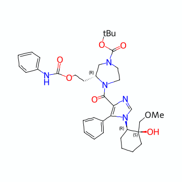 COC[C@]1(O)CCCC[C@H]1n1cnc(C(=O)N2CCN(C(=O)OC(C)(C)C)C[C@H]2CCOC(=O)Nc2ccccc2)c1-c1ccccc1